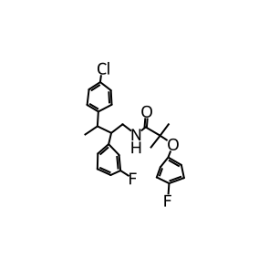 CC(c1ccc(Cl)cc1)C(CNC(=O)C(C)(C)Oc1ccc(F)cc1)c1cccc(F)c1